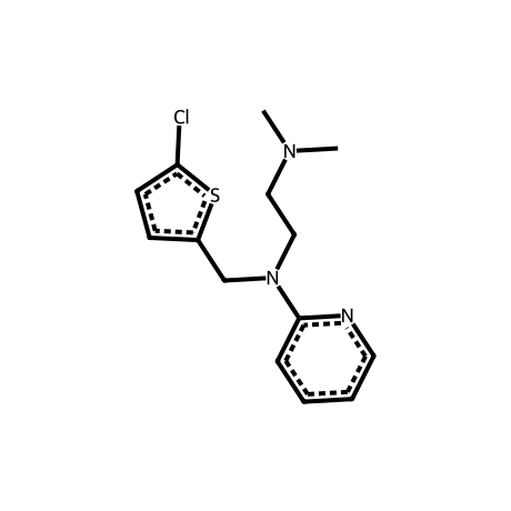 CN(C)CCN(Cc1ccc(Cl)s1)c1ccccn1